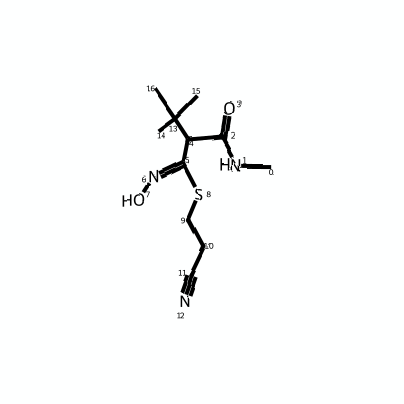 CNC(=O)C(C(=NO)SCCC#N)C(C)(C)C